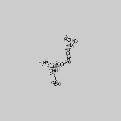 Cc1cccc(-c2nc(CNc3ccc4c(c3)CCN(C(=O)OCc3ccc(NC(=O)[C@H](CCCNC(N)=O)NC(=O)C(NC(=O)CCCCCN5C(=O)C=CC5=O)C(C)C)cc3)C4)[nH]c2-c2ccc3ncnn3c2)n1